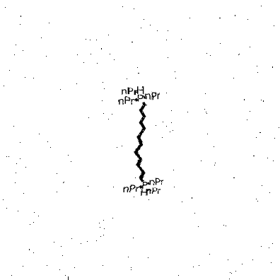 CCC[PH](CCC)(CCC)CCCCCCCCCCCC[PH](CCC)(CCC)CCC